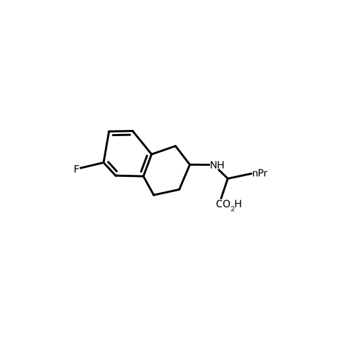 CCCC(NC1CCc2cc(F)ccc2C1)C(=O)O